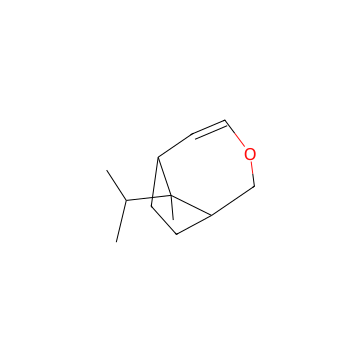 CC(C)C1(C)C2C=COCC1CC2